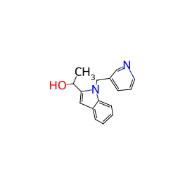 CC(O)c1cc2ccccc2n1Cc1cccnc1